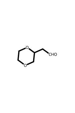 O=CCC1COCCO1